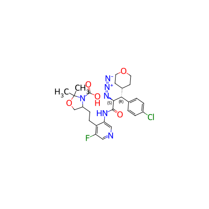 CC1(C)OCC(CCc2c(F)cncc2NC(=O)[C@@H](N=[N+]=[N-])[C@@H](c2ccc(Cl)cc2)C2CCOCC2)N1C(=O)O